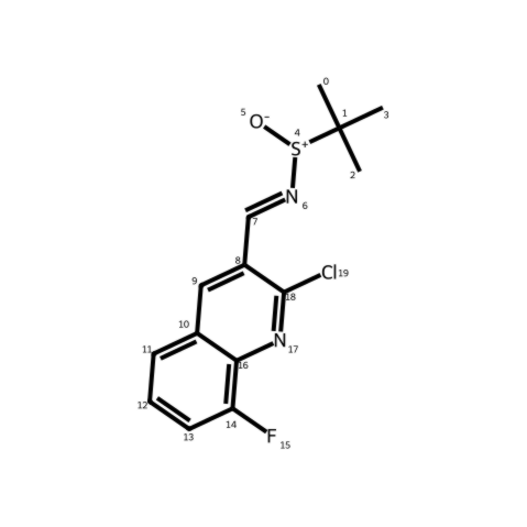 CC(C)(C)[S+]([O-])/N=C/c1cc2cccc(F)c2nc1Cl